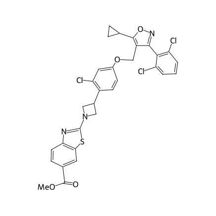 COC(=O)c1ccc2nc(N3CC(c4ccc(OCc5c(-c6c(Cl)cccc6Cl)noc5C5CC5)cc4Cl)C3)sc2c1